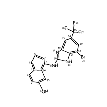 Oc1ccc2cccc(Nc3nc4cc(C(F)(F)F)cc(Br)c4[nH]3)c2c1